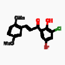 COc1ccc(OC)c(/C=C/C(=O)c2cc(Br)cc(Cl)c2O)c1